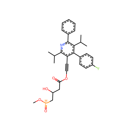 CO[PH](=O)CC(O)CC(=O)OC#Cc1c(C(C)C)nc(-c2ccccc2)c(C(C)C)c1-c1ccc(F)cc1